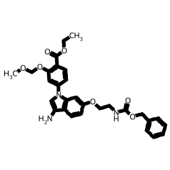 CCOC(=O)c1ccc(-n2cc(N)c3ccc(OCCNC(=O)OCc4ccccc4)cc32)cc1OCOC